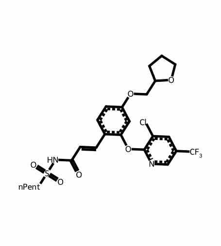 CCCCCS(=O)(=O)NC(=O)C=Cc1ccc(OCC2CCCO2)cc1Oc1ncc(C(F)(F)F)cc1Cl